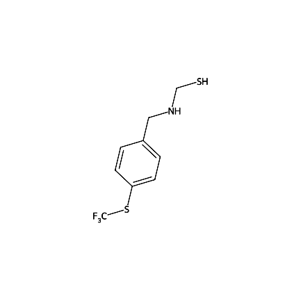 FC(F)(F)Sc1ccc(CNCS)cc1